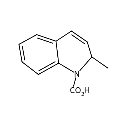 CC1C=Cc2ccccc2N1C(=O)O